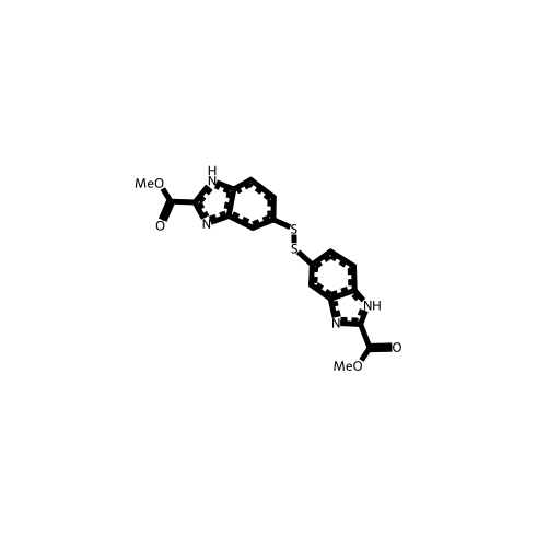 COC(=O)c1nc2cc(SSc3ccc4[nH]c(C(=O)OC)nc4c3)ccc2[nH]1